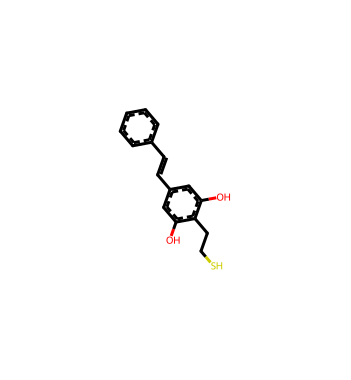 Oc1cc(/C=C/c2ccccc2)cc(O)c1CCS